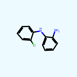 Nc1ccccc1Nc1ccccc1Cl